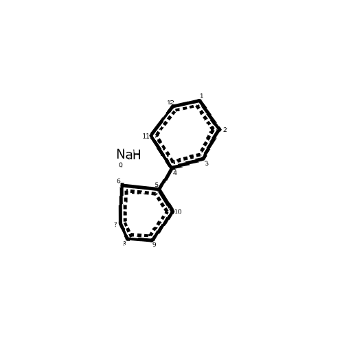 [NaH].c1ccc(-c2ccccc2)cc1